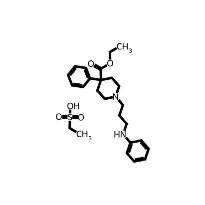 CCOC(=O)C1(c2ccccc2)CCN(CCCNc2ccccc2)CC1.CCS(=O)(=O)O